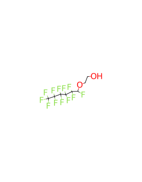 OCCOC(F)C(F)(F)C(F)(F)C(F)(F)C(F)(F)C(F)(F)F